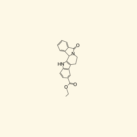 CCOC(=O)c1ccc2[nH]c3c(c2c1)CCN1C(=O)c2ccccc2C31